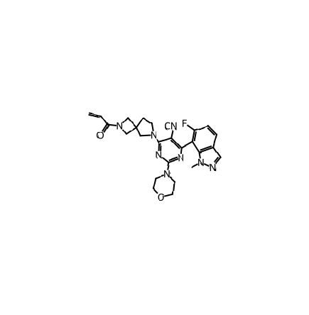 C=CC(=O)N1CC2(CCN(c3nc(N4CCOCC4)nc(-c4c(F)ccc5cnn(C)c45)c3C#N)C2)C1